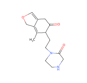 CC1=C2COC=C2CC(=O)C1CCN1CCNCC1=O